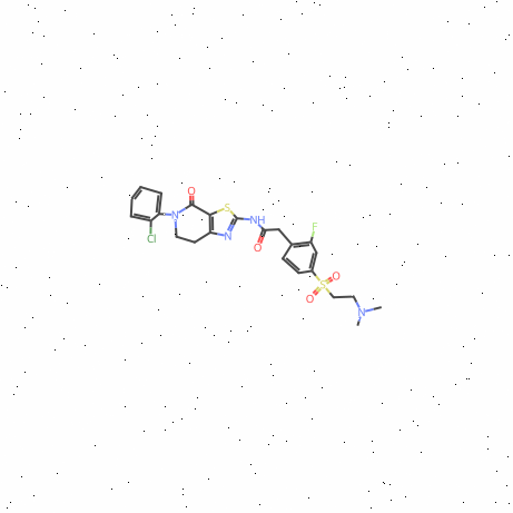 CN(C)CCS(=O)(=O)c1ccc(CC(=O)Nc2nc3c(s2)C(=O)N(c2ccccc2Cl)CC3)c(F)c1